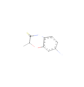 CC1Oc2cc(N)ccc2NC1=S